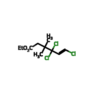 CCOC(=O)CC(C)(C)C(Cl)(Cl)C=CCl